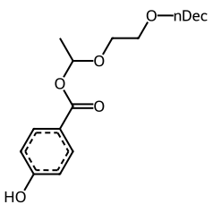 CCCCCCCCCCOCCOC(C)OC(=O)c1ccc(O)cc1